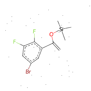 C=C(O[Si](C)(C)C)c1cc(Br)cc(F)c1F